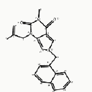 C=C(C)Cn1c(=O)n(C)c(=O)c2cn(Cc3cccc4ccccc34)nc21